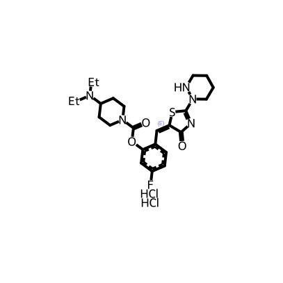 CCN(CC)C1CCN(C(=O)Oc2cc(F)ccc2/C=C2/SC(N3CCCCN3)=NC2=O)CC1.Cl.Cl